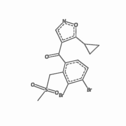 CS(=O)(=O)Cc1c(C(=O)c2cnoc2C2CC2)ccc(Br)c1Br